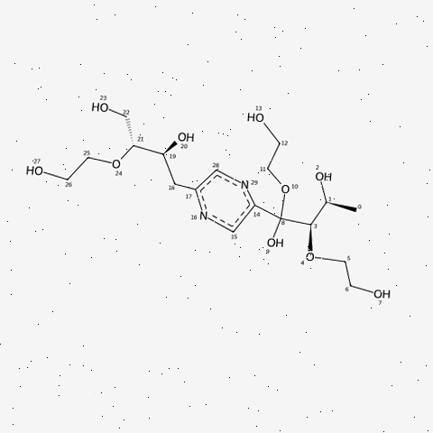 C[C@H](O)[C@@H](OCCO)C(O)(OCCO)c1cnc(C[C@H](O)[C@@H](CO)OCCO)cn1